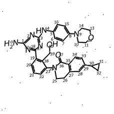 Nc1nc(Nc2ccc(N3CCOCC3)cc2)nc(-c2cccc(N3CCc4cc(C5CC5)ccc4C3=O)c2CO)n1